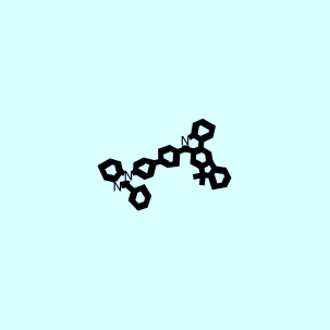 CC1(C)c2ccccc2-c2cc3c(cc21)c(-c1ccc(-c2ccc(-n4c(-c5ccccc5)nc5ccccc54)cc2)cc1)nc1ccccc13